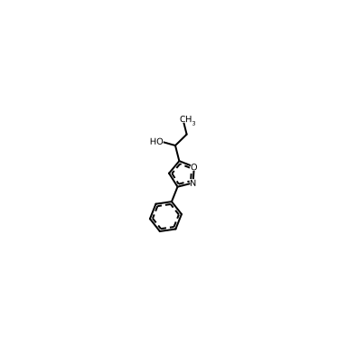 CCC(O)c1cc(-c2ccccc2)no1